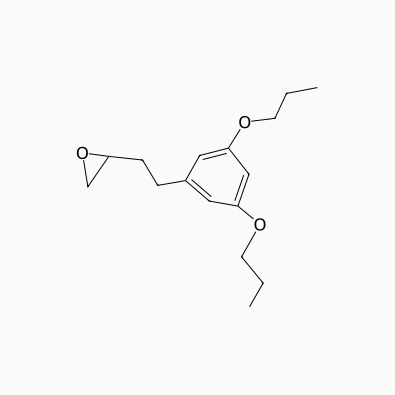 CCCOc1cc(CCC2CO2)cc(OCCC)c1